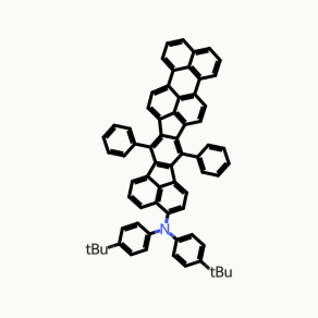 CC(C)(C)c1ccc(N(c2ccc(C(C)(C)C)cc2)c2ccc3c4c(-c5ccccc5)c5c6ccc7c8cccc9cccc(c%10ccc(c5c(-c5ccccc5)c4c4cccc2c43)c6c%107)c98)cc1